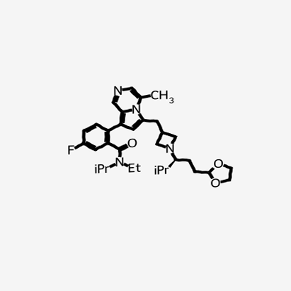 CCN(C(=O)c1cc(F)ccc1-c1cc(CC2CN([C@@H](CCC3OCCO3)C(C)C)C2)n2c(C)cncc12)C(C)C